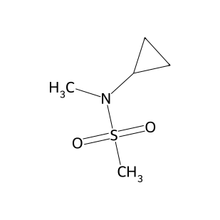 CN(C1CC1)S(C)(=O)=O